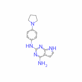 Nc1nc(Nc2ccc(N3CCCC3)cc2)nc2[nH]ccc12